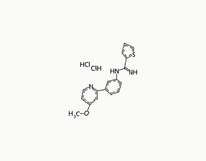 COc1ccnc(-c2cccc(NC(=N)c3cccs3)c2)c1.Cl.Cl